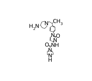 CC(CN1CCC[C@H](N)CC1)c1ccc(-n2ccc(NC(=O)N3CCNCC3)nc2=O)cc1